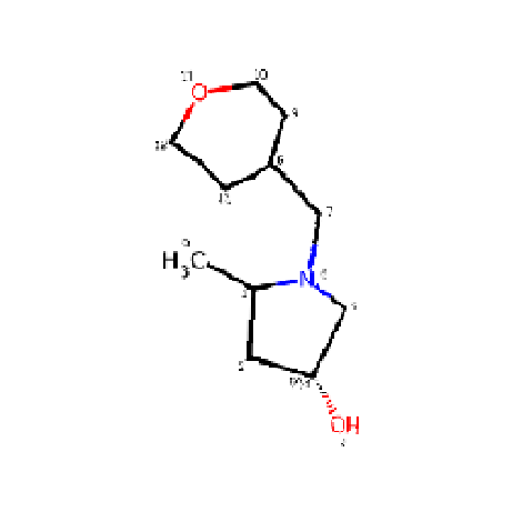 CC1C[C@@H](O)CN1CC1CCOCC1